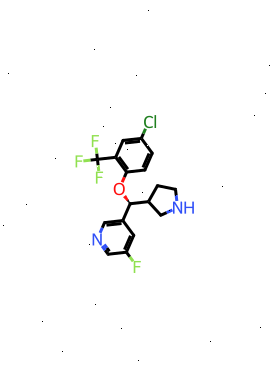 Fc1cncc([C@@H](Oc2ccc(Cl)cc2C(F)(F)F)C2CCNC2)c1